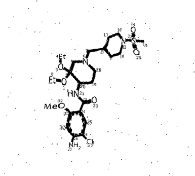 CCOC1(OCC)CN(CC2CCN(S(C)(=O)=O)CC2)CCC1NC(=O)c1cc(Cl)c(N)cc1OC